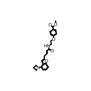 COC(=O)c1ccc(OCCNC(=O)C=CCc2cc3c(N4CCC4)cccc3o2)cc1